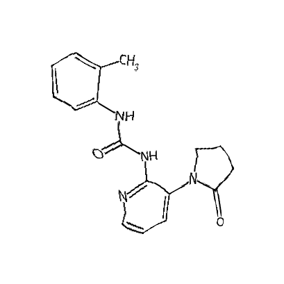 Cc1ccccc1NC(=O)Nc1ncccc1N1CCCC1=O